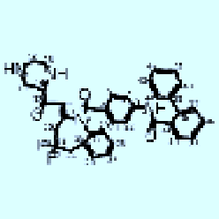 O=C(Nc1ccc(C(=O)N2C(=CC(=O)C3CNCCN3)CC(F)(F)Cc3ccccc32)cc1)c1ccccc1-c1ccccc1